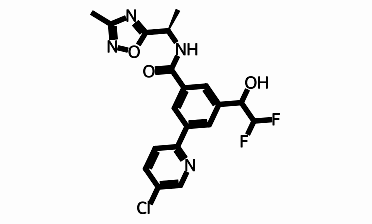 Cc1noc([C@@H](C)NC(=O)c2cc(-c3ccc(Cl)cn3)cc(C(O)C(F)F)c2)n1